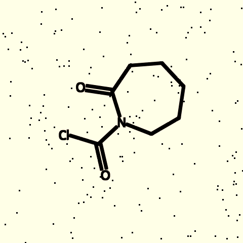 O=C(Cl)N1CCCCCC1=O